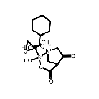 CC(C1CCCCC1)[N@+]12CC(=O)C(C1)C(=O)O[B-]2(O)C1(C)CO1